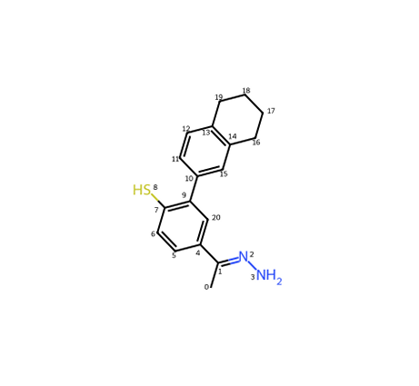 CC(=NN)c1ccc(S)c(-c2ccc3c(c2)CCCC3)c1